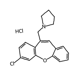 Cl.Clc1ccc2c(c1)Oc1ccccc1C=C2CN1CCCC1